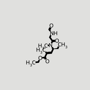 CCOC(=O)/C(C)=C/[C@H](CC)N(C)C(=O)CNC=O